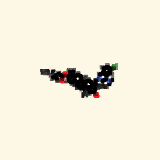 CC(=O)OC(CN(CCN(C)C)Cc1ccc(Cl)cc1)C12CC[C@]3(C)[C@H](CC[C@@H]4[C@@]5(C)CC[C@H](OC(=O)CC(C)(C)C(=O)O)C(C)(C)C5CC[C@]43C)C1=C(C(C)C)C(=O)C2